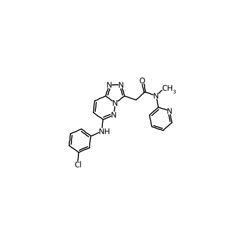 CN(C(=O)Cc1nnc2ccc(Nc3cccc(Cl)c3)nn12)c1ccccn1